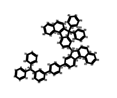 c1ccc(N(c2ccccc2)c2cccc(-c3ccc(-c4ccc5c6c7ccccc7ccc6n(-c6ccc7c(c6)C(c6ccccc6)(c6ccccc6)c6ccc8ccccc8c6-7)c5c4)cc3)c2)cc1